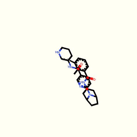 COc1cccc(C(=O)NC2CC3CCC(C2)N3c2ccc(C(=O)NC3CCCNC3)cn2)c1C